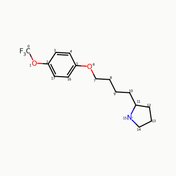 FC(F)(F)Oc1ccc(OCCCCC2CCC[N]2)cc1